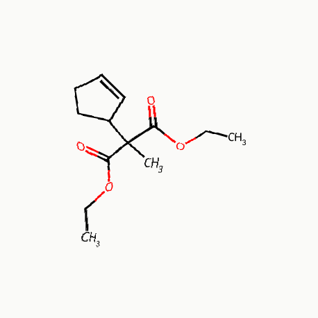 CCOC(=O)C(C)(C(=O)OCC)C1C=CCC1